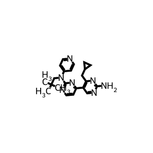 CC(C)(C)CN(c1ccncc1)c1nccc(-c2cnc(N)nc2CC2CC2)n1